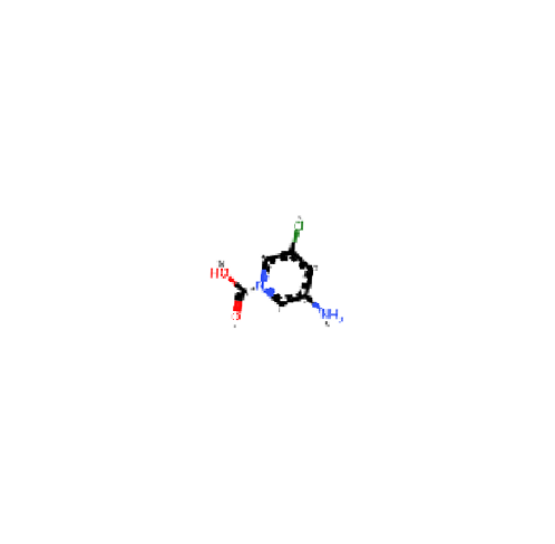 Nc1cncc(Cl)c1.O=CO